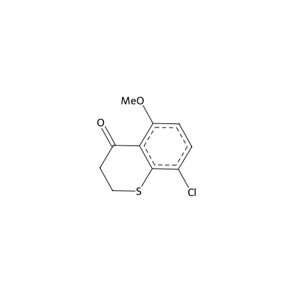 COc1ccc(Cl)c2c1C(=O)CCS2